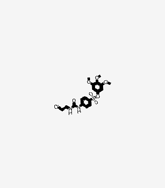 COc1cc(OS(=O)(=O)c2ccc(NC(=O)NCCCl)cc2)cc(OC)c1OC